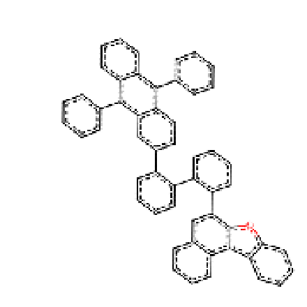 c1ccc(-c2c3ccccc3c(-c3ccccc3)c3cc(-c4ccccc4-c4ccccc4-c4cc5ccccc5c5c4oc4ccccc45)ccc23)cc1